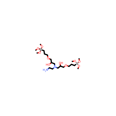 CO[Si](CCCOCC(O)CN(CCN)CC(O)COCCC[Si](OC)(OC)OC)(OC)OC